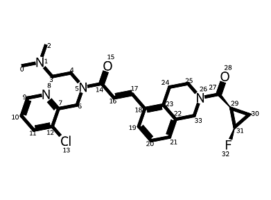 CN(C)CCN(Cc1ncccc1Cl)C(=O)/C=C/c1cccc2c1CCN(C(=O)[C@H]1C[C@H]1F)C2